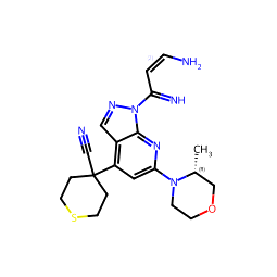 C[C@@H]1COCCN1c1cc(C2(C#N)CCSCC2)c2cnn(C(=N)/C=C\N)c2n1